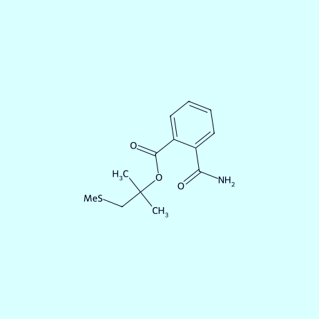 CSCC(C)(C)OC(=O)c1ccccc1C(N)=O